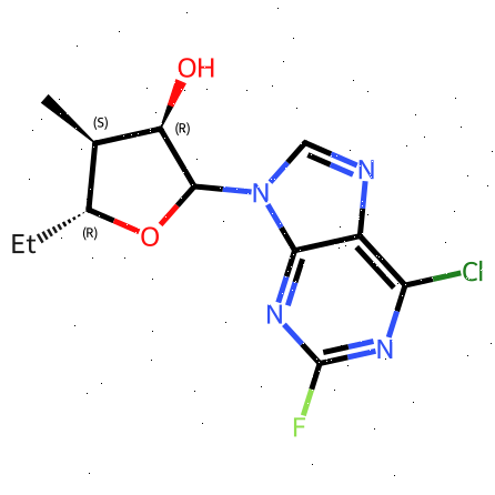 CC[C@H]1OC(n2cnc3c(Cl)nc(F)nc32)[C@H](O)[C@@H]1C